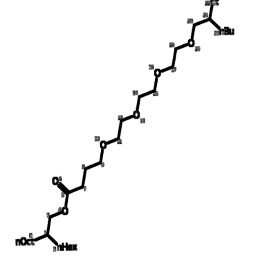 CCCCCCCCC(CCCCCC)COC(=O)CCCOCCOCCOCCOCC(CC)CCCC